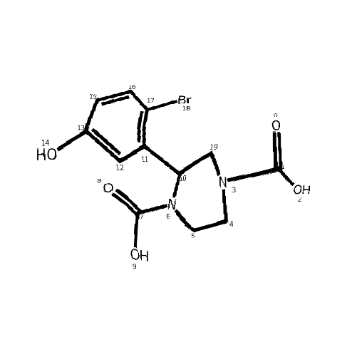 O=C(O)N1CCN(C(=O)O)C(c2cc(O)ccc2Br)C1